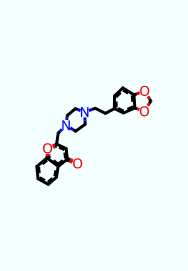 O=c1cc(CN2CCN(CCc3ccc4c(c3)OCO4)CC2)oc2ccccc12